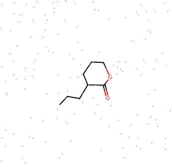 CCCC1CCCOC1=O